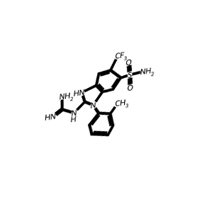 Cc1ccccc1N1c2cc(S(N)(=O)=O)c(C(F)(F)F)cc2NC1NC(=N)N